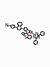 N#Cc1ccc(-c2ccc(-c3ccc4c(c3)C3(c5ccccc5Sc5ccccc53)c3cc(-c5nc(-c6ccccc6)nc(-c6ccccc6)n5)ccc3-4)c3ccccc23)cc1